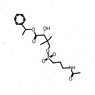 CC(=O)NCCCS(=O)(=O)OCC(C)(C)[C@@H](O)C(=O)OC(C)c1ccccc1